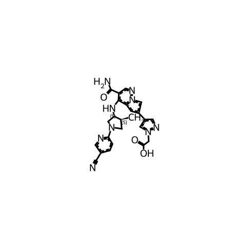 C[C@H]1CN(c2ccc(C#N)cn2)C[C@H]1Nc1c(C(N)=O)cnn2cc(-c3cnn(CC(=O)O)c3)cc12